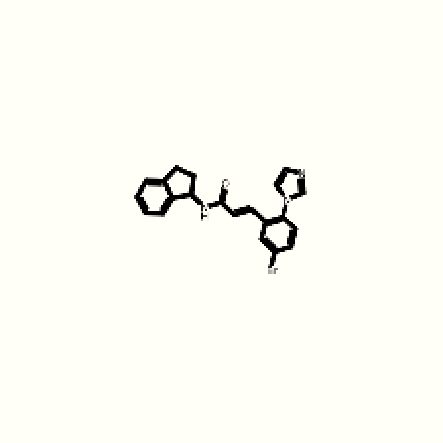 O=C(/C=C/c1cc(Br)ccc1-n1ccnc1)NC1CCc2ccccc21